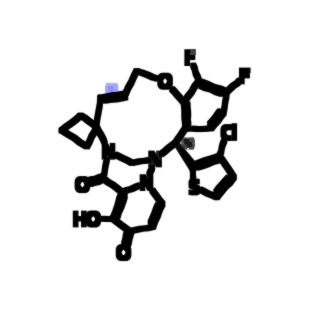 O=C1c2c(O)c(=O)ccn2N2CN1C1(/C=C/COc3c(ccc(F)c3F)[C@H]2c2sccc2Cl)CCC1